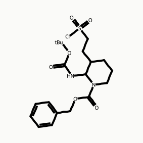 CC(C)(C)OC(=O)NC1C(CCS(=O)(=O)Cl)CCCN1C(=O)OCc1ccccc1